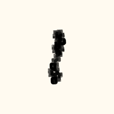 O=C1CCc2cc(OCCCCCN3CCN(CC(=O)N4CCCC4)CC3)ccc21